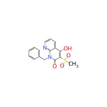 CS(=O)(=O)c1c(O)c2cccnc2n(Cc2ccccc2)c1=O